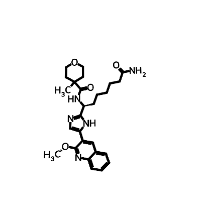 COc1nc2ccccc2cc1-c1cnc([C@H](CCCCCC(N)=O)NC(=O)C2(C)CCOCC2)[nH]1